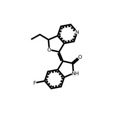 CCC1OC(=C2C(=O)Nc3ccc(F)cc32)c2cnccc21